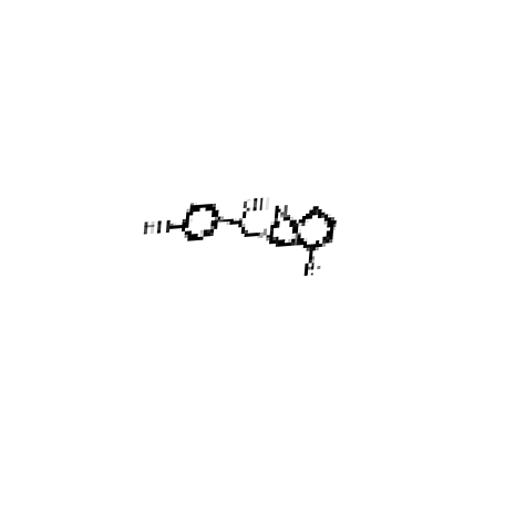 Oc1ccc([C@@H](O)Cn2cc3c(Br)cccc3n2)cc1